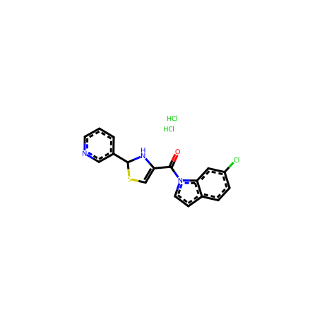 Cl.Cl.O=C(C1=CSC(c2cccnc2)N1)n1ccc2ccc(Cl)cc21